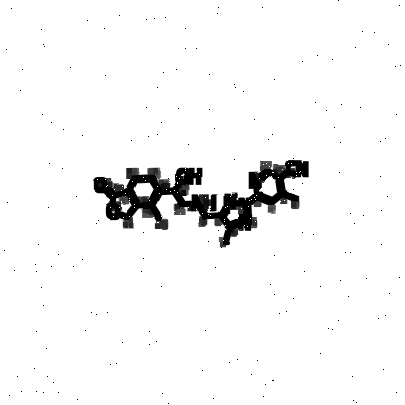 Cc1cc(-n2nc(C)c(CNCC(O)c3ccc4c(c3C)COC4=O)n2)ncc1C#N